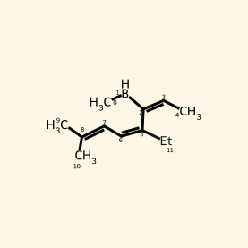 CBC(=C/C)/C(=C\C=C(C)C)CC